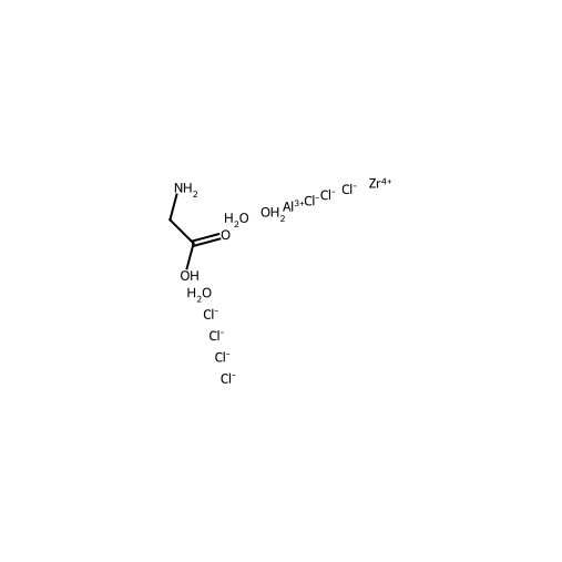 NCC(=O)O.O.O.O.[Al+3].[Cl-].[Cl-].[Cl-].[Cl-].[Cl-].[Cl-].[Cl-].[Zr+4]